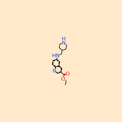 CCOC(=O)c1cnc2ccc(NCC3CCNCC3)cc2c1